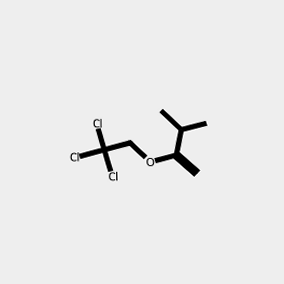 C=C(OCC(Cl)(Cl)Cl)C(C)C